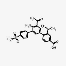 CC(C)c1cc(C(=O)O)ccc1-c1cc(C(N)=O)c(N)c(-c2ccc(S(N)(=O)=O)cc2)c1